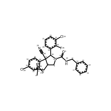 CC(C)(C)CC1CN(C(=O)NCc2ccccc2)C(c2cccc(Cl)c2F)C1(C#N)c1ccc(Cl)cc1F